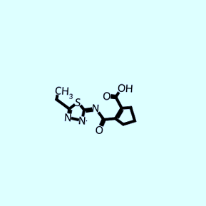 CCC1=N[N]C(=NC(=O)C2=C(C(=O)O)CCC2)S1